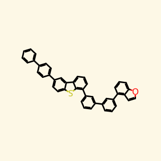 c1ccc(-c2ccc(-c3ccc4sc5c(-c6cccc(-c7cccc(-c8cccc9occc89)c7)c6)cccc5c4c3)cc2)cc1